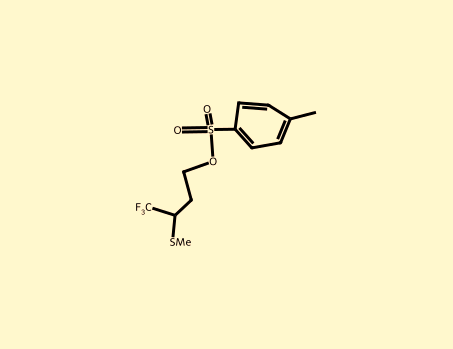 CSC(CCOS(=O)(=O)c1ccc(C)cc1)C(F)(F)F